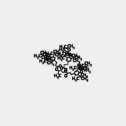 CCC(OC(=O)CCc1cc(C(C)(C)C)c(OC(=O)OC(C)(C)C)c(C(C)(C)C)c1)C(COC(=O)CCc1cc(C(C)(C)C)c(OC(=O)OC(C)(C)C)c(C(C)(C)C)c1)OC(=O)CCc1cc(C(C)(C)C)c(OC(=O)OC(C)(C)C)c(C(C)(C)C)c1